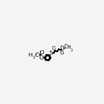 CCOC(=O)CCC(=O)CSc1cccc(OC(C)=O)c1